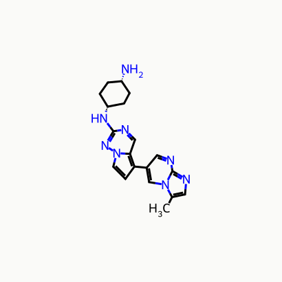 Cc1cnc2ncc(-c3ccn4nc(N[C@H]5CC[C@@H](N)CC5)ncc34)cn12